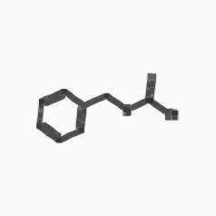 C=C(CC)SCc1ccccc1